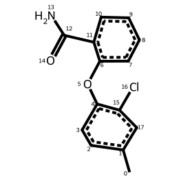 Cc1ccc(Oc2ccccc2C(N)=O)c(Cl)c1